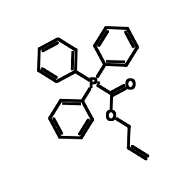 C=CCOC(=O)[P](c1ccccc1)(c1ccccc1)c1ccccc1